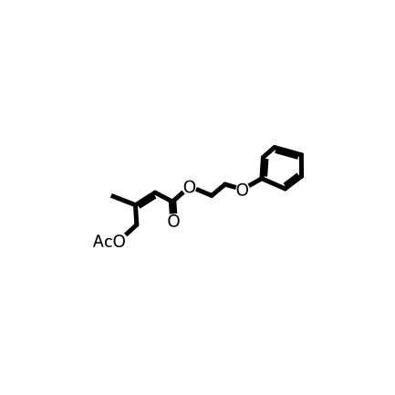 CC(=O)OCC(C)=CC(=O)OCCOc1ccccc1